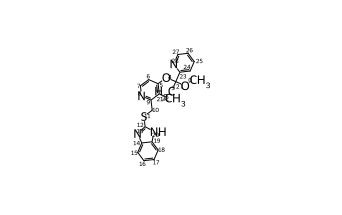 COC(C)(Oc1ccnc(CSc2nc3ccccc3[nH]2)c1C)c1ccccn1